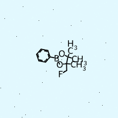 CC1(C)OB(c2ccccc2)OC1(C)CF